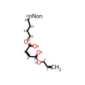 C=CCOC(=O)/C=C\C(=O)OCCCCCCCCCCCCC